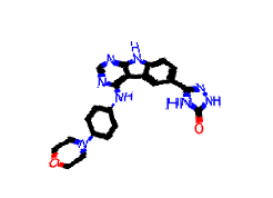 O=c1[nH]nc(-c2ccc3[nH]c4ncnc(N[C@H]5CC[C@H](N6CCOCC6)CC5)c4c3c2)[nH]1